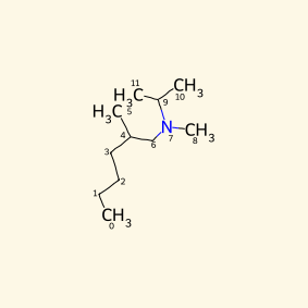 CCCCC(C)CN(C)C(C)C